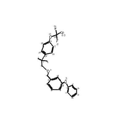 CC(C)(COCc1cccc(Oc2ccccc2)c1)c1ccc(OC(F)(F)C(F)(F)F)cc1